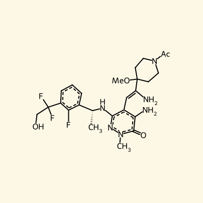 COC1(/C(N)=C/c2c(N[C@H](C)c3cccc(C(F)(F)CO)c3F)nn(C)c(=O)c2N)CCN(C(C)=O)CC1